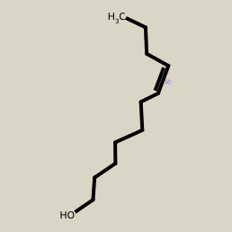 CCC/C=C\CCCCCCO